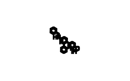 CC(C)n1nc(-c2ccc(NCc3ccccc3)nc2-c2ccccc2)ccc1=O